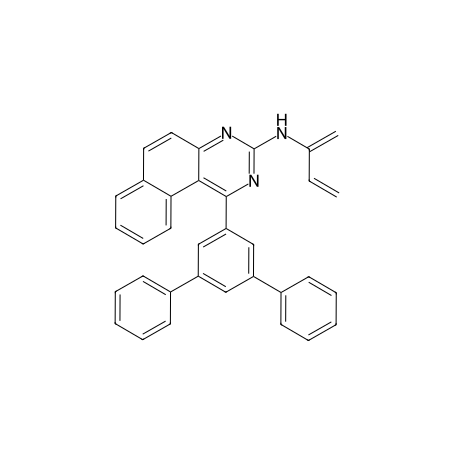 C=CC(=C)Nc1nc(-c2cc(-c3ccccc3)cc(-c3ccccc3)c2)c2c(ccc3ccccc32)n1